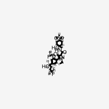 CCn1nc(C(=O)NCC2(O)CCC(S(C)(=O)=O)CC2)c(Cl)c1-c1ccc([C@](C)(O)CCC(F)(F)F)cc1OC(F)F